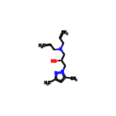 C=CCN(CC=C)CC(O)Cn1nc(C)cc1C